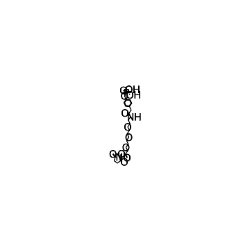 O=C(Cc1ccc(OP(=O)(O)O)cc1)NCCOCCOCCOCC(=O)ON1C(=O)CCC1=O